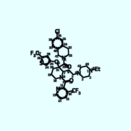 CCN1CCN(CC[C@H]2N(C(=O)c3ncccc3C(F)(F)F)CCC[C@]2(Oc2csc(C(F)(F)F)c2)C(=O)N2CCc3cc(Cl)ccc3C2)CC1